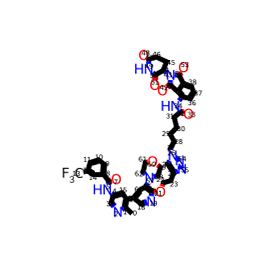 Cc1ncc(NC(=O)c2cccc(C(F)(F)F)c2)cc1-c1cnc(OCCc2cn(CCCCCC(=O)Nc3cccc4c3C(=O)N(C3CCC(=O)NC3=O)C4=O)nn2)c(N2CCOCC2)c1